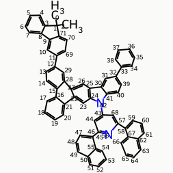 CC1(C)c2ccccc2-c2cc(-c3ccc4c5ccccc5c5cc6c(cc5c4c3)c3cc(-c4ccccc4)ccc3n6-c3cc(-c4cccc5ccccc45)nc(-c4cccc5ccccc45)c3)ccc21